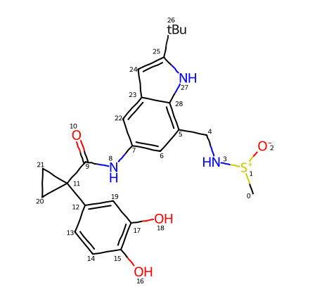 C[S+]([O-])NCc1cc(NC(=O)C2(c3ccc(O)c(O)c3)CC2)cc2cc(C(C)(C)C)[nH]c12